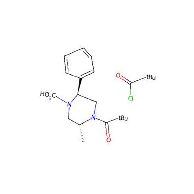 CC(C)(C)C(=O)Cl.C[C@@H]1CN(C(=O)O)[C@@H](c2ccccc2)CN1C(=O)C(C)(C)C